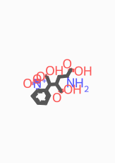 N[C@@H](CC(C(=O)O)C(C(=O)O)c1ccccc1[N+](=O)[O-])C(=O)O